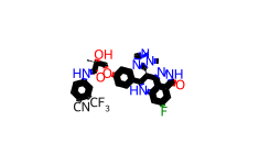 Cn1ncnc1[C@@H]1c2n[nH]c(=O)c3cc(F)cc(c23)NC1c1ccc(OC[C@](C)(O)C(=O)Nc2ccc(C#N)c(C(F)(F)F)c2)cc1